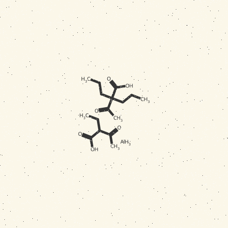 CCC(C(C)=O)C(=O)O.CCCC(CCC)(C(C)=O)C(=O)O.[AlH3]